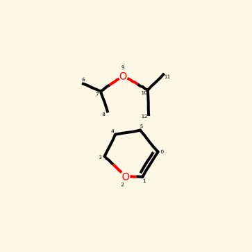 C1=COCCC1.CC(C)OC(C)C